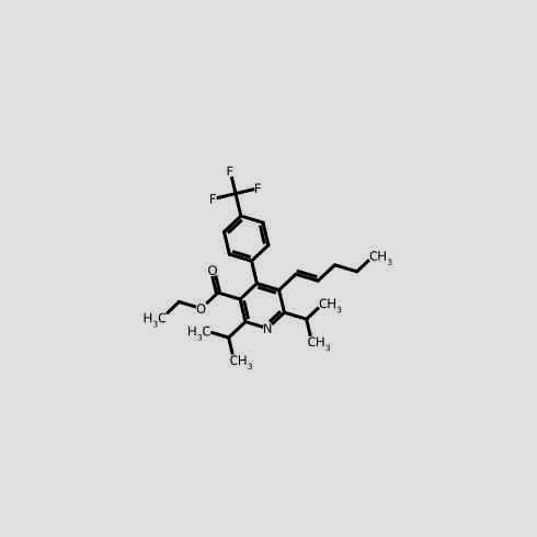 CCCC=Cc1c(C(C)C)nc(C(C)C)c(C(=O)OCC)c1-c1ccc(C(F)(F)F)cc1